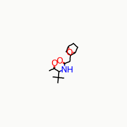 CC(=O)C(NC(=O)CC1CC2CCC1O2)C(C)(C)C